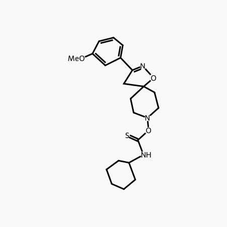 COc1cccc(C2=NOC3(CCN(OC(=S)NC4CCCCC4)CC3)C2)c1